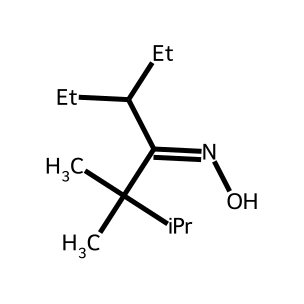 CCC(CC)C(=NO)C(C)(C)C(C)C